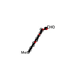 COCCOCCOCCOCCOCCOCCOCCOCCOCCOC(=O)C=Cc1ccc(C=O)cc1